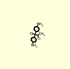 CC(Cl)C(Cl)(c1ccc(N)cc1)c1ccc(N)cc1